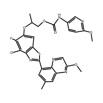 COc1ccc(NC(=O)OCC(C)Oc2cc3sc(-c4cc(C)cc5nc(OC)cnc45)nc3c(Cl)c2F)cn1